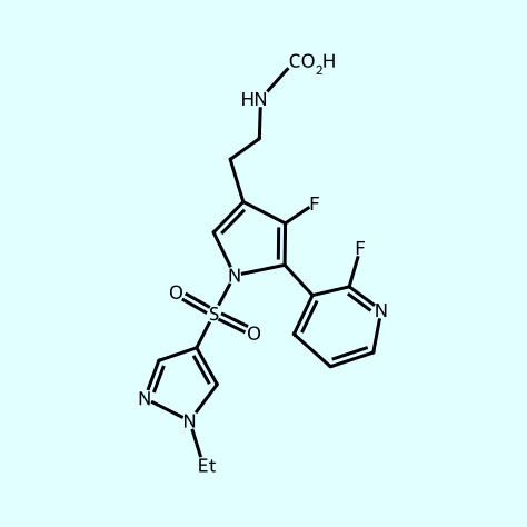 CCn1cc(S(=O)(=O)n2cc(CCNC(=O)O)c(F)c2-c2cccnc2F)cn1